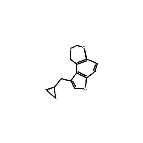 c1cc2occ(CC3CC3)c2c2c1OCCC2